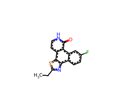 CCc1nc2c3ccc(F)cc3c3c(=O)[nH]ccc3c2s1